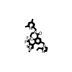 CCc1nccn1Cc1cc2c(c(-c3cn(C)nc3C(F)(F)F)c1)OCCN(Cc1cc(C)cc(C)n1)C2=O